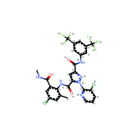 CNC(=O)c1cc(Cl)cc(C)c1NC(=O)c1cc(C(=O)Nc2cc(C(F)(F)F)cc(C(F)(F)F)c2)nn1-c1ncccc1Cl